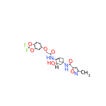 Cc1cc(C(=O)NC23CC(=C(NC(=O)COc4ccc5c(c4)OC(F)(F)O5)[C@@H](O)C2)C3)on1